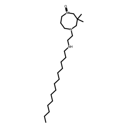 CCCCCCCCCCCCCCNCCN1CCC[N+](=O)CC(C)(C)C1